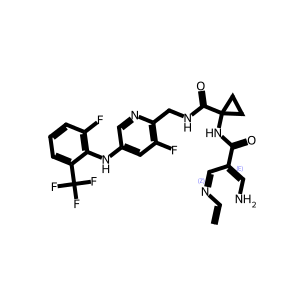 C=C/N=C\C(=C/N)C(=O)NC1(C(=O)NCc2ncc(Nc3c(F)cccc3C(F)(F)F)cc2F)CC1